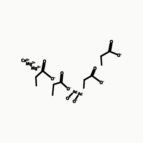 CC(=O)[O-].CC(=O)[O-].CCC(=O)[O-].CCC(=O)[O-].CCC(=O)[O-].CCC(=O)[O-].[Ca+2].[Mg+2].[Mg+2]